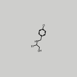 CCC(CO)NCc1ccc(Cl)cc1